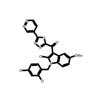 COc1ccc2c(c1)c(C(=O)c1nnc(-c3ccnnc3)o1)c(Cl)n2Cc1ccc(Cl)cc1Cl